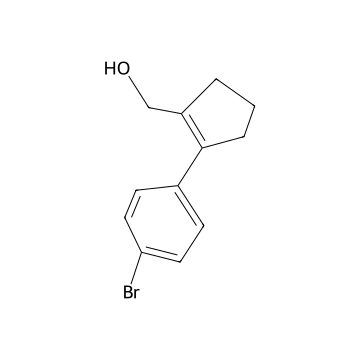 OCC1=C(c2ccc(Br)cc2)CCC1